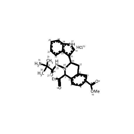 CCC(=O)C1c2ccc(C(=O)OC)cc2CC(c2c[nH]c3ccccc23)N1NC(=O)C(C)(C)N.Cl